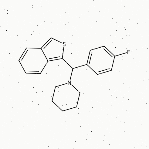 Fc1ccc(C(c2scc3ccccc23)N2CCCCC2)cc1